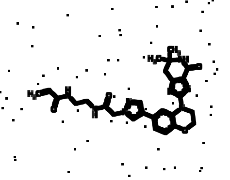 C=CC(=O)NCCNC(=O)Cn1cc(-c2ccc3c(c2)N(c2nc4c(s2)C(=O)NC(C)(C)C4)CCO3)cn1